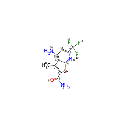 Cc1c(C(N)=O)sc2nc(C(F)(F)F)cc(N)c12